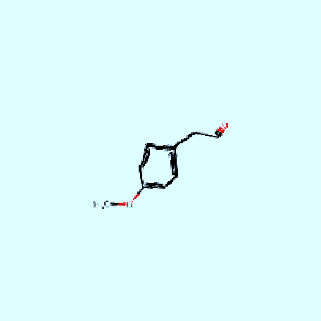 COc1ccc([CH]C=O)cc1